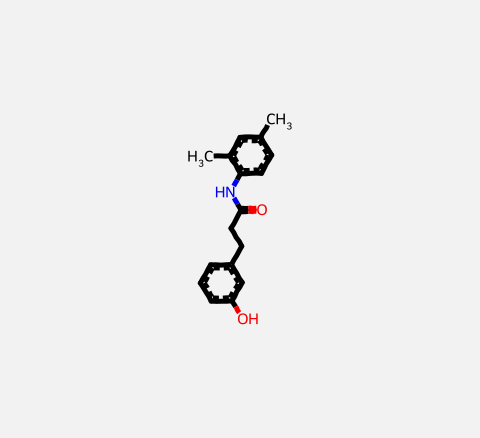 Cc1ccc(NC(=O)CCc2cccc(O)c2)c(C)c1